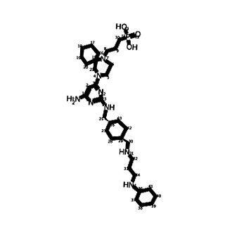 Nc1cc(N2CCN(CCCP(=O)(O)O)C3(CCCCC3)C2)nc(NC[C@H]2CC[C@H](CNCCCNC3CCCCC3)CC2)n1